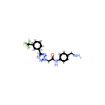 NCc1ccc(NC(=O)Cn2nnc(-c3cccc(C(F)(F)F)c3)n2)cc1